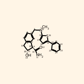 CN(Cc1ccc2c(c1)[C@@H](C(N)=O)[C@H](O)C2)c1ccc(-c2ccccc2)s1